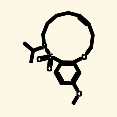 COc1ccc2c(c1)OCCC=CCCCCN(C(C)C)S2(=O)=O